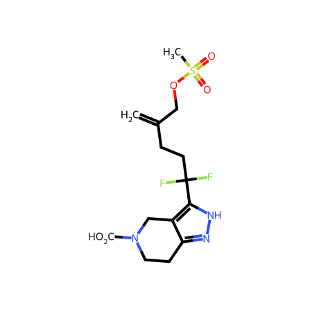 C=C(CCC(F)(F)c1[nH]nc2c1CN(C(=O)O)CC2)COS(C)(=O)=O